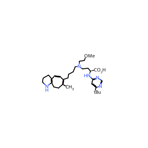 COCCN(CCCCC1=C(\C)CCC2=C(/C=C\1)CCCN2)CC[C@H](Nc1cc(C(C)(C)C)ncn1)C(=O)O